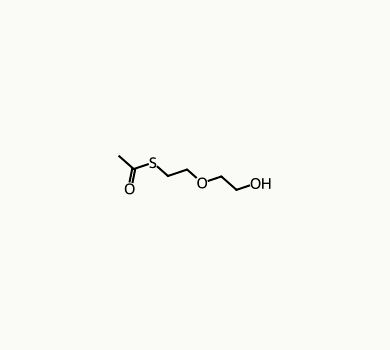 CC(=O)SCCOCCO